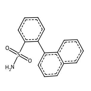 NS(=O)(=O)c1ccccc1-c1cccc2ccccc12